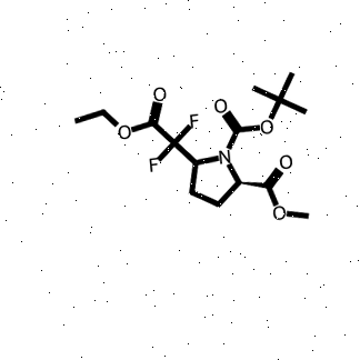 CCOC(=O)C(F)(F)C1CC[C@H](C(=O)OC)N1C(=O)OC(C)(C)C